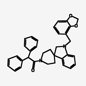 O=C(C(c1ccccc1)c1ccccc1)N1CCC2(CC1)CN(Cc1cccc3c1OCO3)c1ccccc12